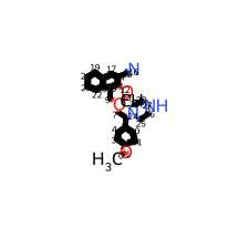 COc1ccc(C(COCc2c(OC)c(C#N)cc3ccccc23)N2CCNCC2)cc1